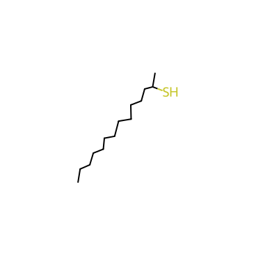 CCCCCCCCCCCCC(C)S